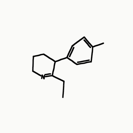 CCC1=NCCCC1c1ccc(C)cc1